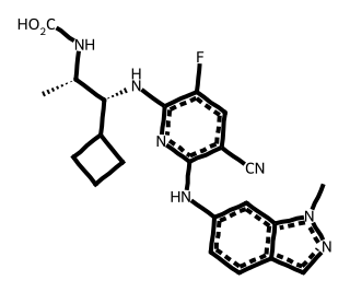 C[C@H](NC(=O)O)[C@H](Nc1nc(Nc2ccc3cnn(C)c3c2)c(C#N)cc1F)C1CCC1